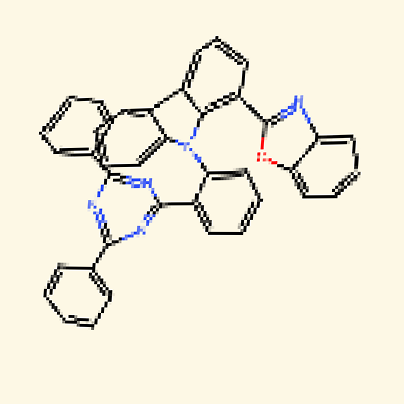 c1ccc(-c2nc(-c3ccccc3)nc(-c3ccccc3-n3c4ccccc4c4cccc(-c5nc6ccccc6o5)c43)n2)cc1